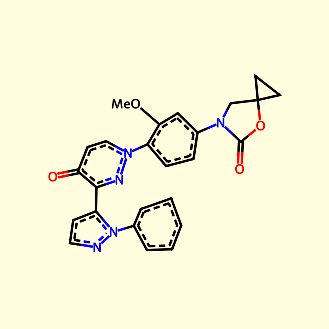 COc1cc(N2CC3(CC3)OC2=O)ccc1-n1ccc(=O)c(-c2ccnn2-c2ccccc2)n1